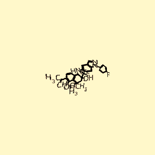 CC(C)c1ccc2c(c1O)C(C)(C)CC(O)(C(F)(F)F)C2Nc1ccc2c(cnn2-c2ccc(F)cc2)c1